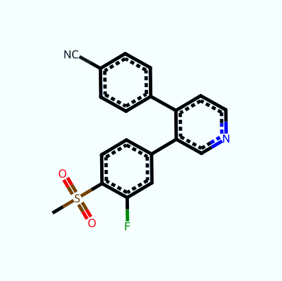 CS(=O)(=O)c1ccc(-c2cnccc2-c2ccc(C#N)cc2)cc1F